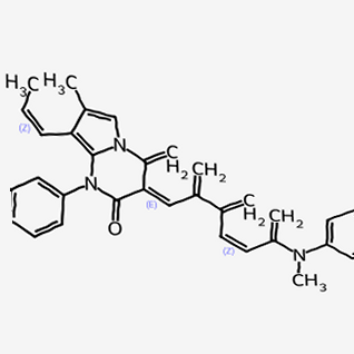 C=C(/C=C\C(=C)N(C)c1ccccc1)C(=C)/C=c1/c(=O)n(-c2ccccc2)c2c(/C=C\C)c(C)cn2c1=C